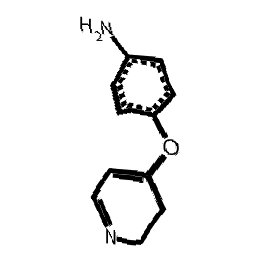 Nc1ccc(OC2=CC=NCC2)cc1